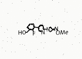 CON=C1CN(c2ccc(-c3cccc(CO)c3F)cn2)C1